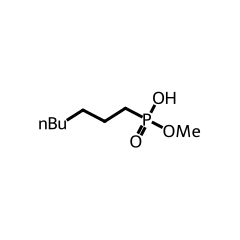 CCCCCCCP(=O)(O)OC